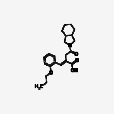 CCCOc1ccccc1/C=C(\CC(=O)N1CC2CCCCC2C1)C(=O)O